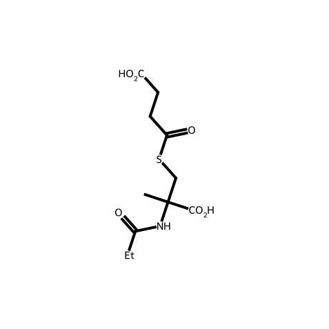 CCC(=O)NC(C)(CSC(=O)CCC(=O)O)C(=O)O